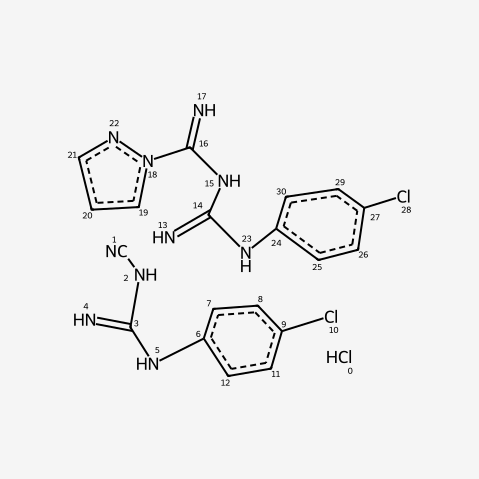 Cl.N#CNC(=N)Nc1ccc(Cl)cc1.N=C(NC(=N)n1cccn1)Nc1ccc(Cl)cc1